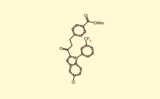 COC(=O)c1ccc(CCC(=O)c2cc3cc(Cl)ccc3n2-c2cccc(C(F)(F)F)c2)cc1